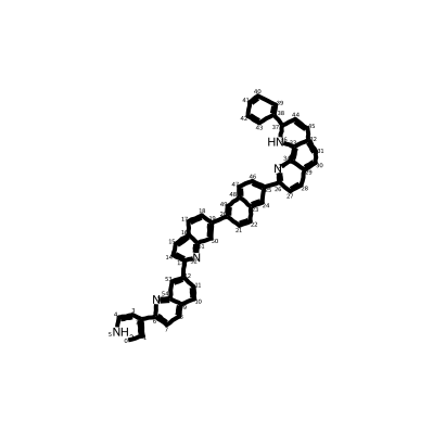 C/C=C(\C=C/N)c1ccc2ccc(-c3ccc4ccc(-c5ccc6cc(-c7ccc8ccc9c(c8n7)NC(c7ccccc7)C=C9)ccc6c5)cc4n3)cc2n1